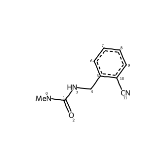 CNC(=O)NCc1ccccc1C#N